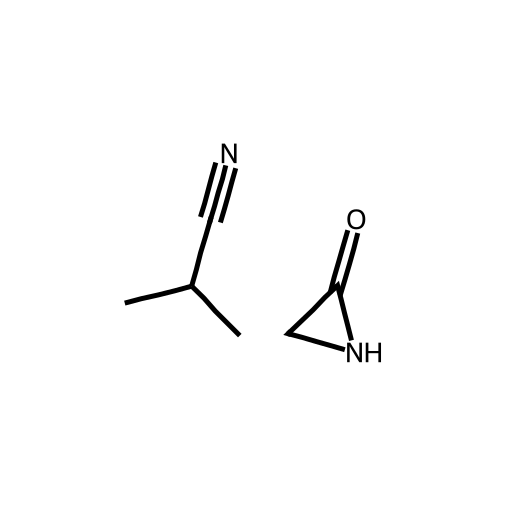 CC(C)C#N.O=C1CN1